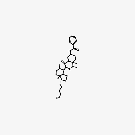 CC(C)CCCC[C@H]1CCC2C(C3O[C@H](C)C4(C)CCC(OC(=O)c5ccccc5)CC4C3=O)C(C)CCC21C